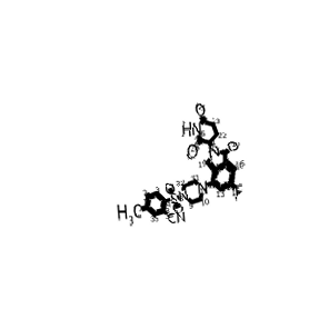 Cc1ccc(S(=O)(=O)N2CCN(c3cc(F)cc4c3CN(C3CCC(=O)NC3=O)C4=O)CC2)c(C#N)c1